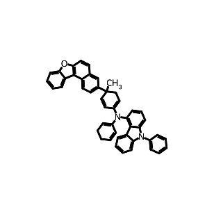 CC1(c2ccc3c(ccc4oc5ccccc5c43)c2)C=CC(N(C2=CCCC=C2)c2cccc3c2c2ccccc2n3-c2ccccc2)=CC1